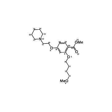 COCCCCOc1cc(OCCN2CCCCC2)ccc1C(=O)OC